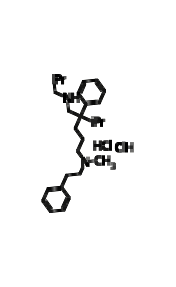 CC(C)CNCC(CCCN(C)CCc1ccccc1)(c1ccccc1)C(C)C.Cl.Cl